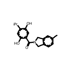 Cc1ccc2c(c1)CN(C(=O)c1cc(O)c(C(C)C)cc1O)C2